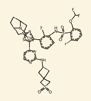 CN1CC2CCC(C1)N2c1nc(-c2cccc(NS(=O)(=O)c3c(F)cccc3OC(F)F)c2F)c(-c2ccnc(NC3CC4(C3)CS(=O)(=O)C4)n2)s1